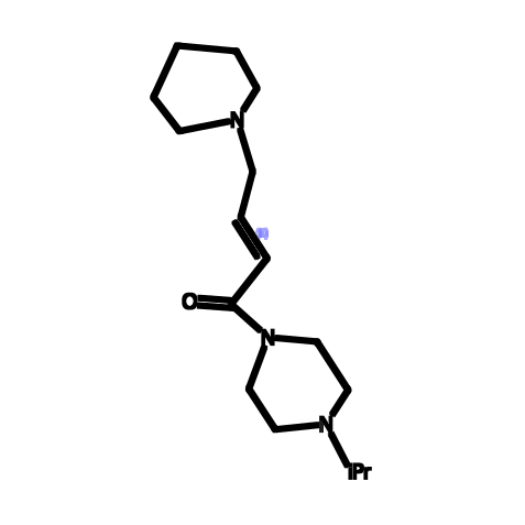 CC(C)N1CCN(C(=O)/C=C/CN2CCCCC2)CC1